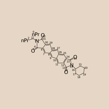 CCCC(CCC)n1c(=O)c2cc3cc4cc5c(=O)n(C6CCCCC6)c(=O)c5cc4cc3cc2c1=O